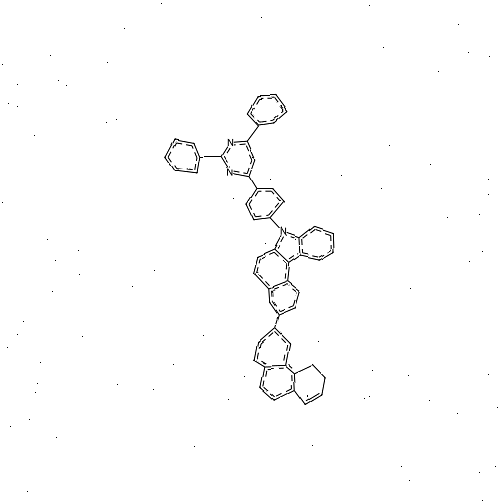 C1=Cc2ccc3ccc(-c4ccc5c(ccc6c5c5ccccc5n6-c5ccc(-c6cc(-c7ccccc7)nc(-c7ccccc7)n6)cc5)c4)cc3c2CC1